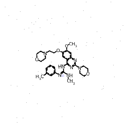 CN/C(=N/c1cccc(C)c1)Nc1nc(N2CCOCC2)nc2cc(OC)c(OCCN3CCOCC3)cc12